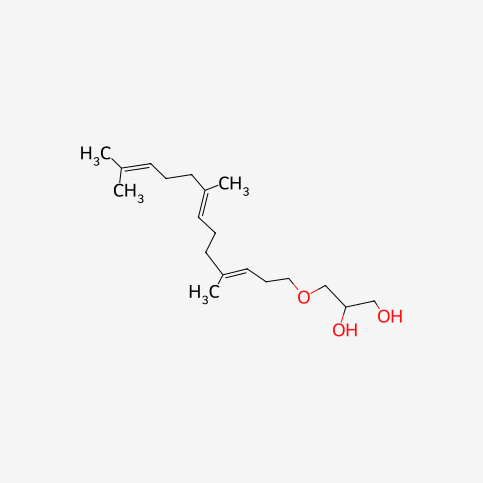 CC(C)=CCCC(C)=CCCC(C)=CCCOCC(O)CO